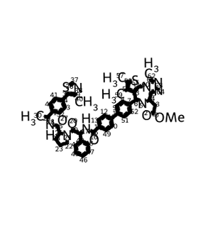 COC(=O)CC1N=C(c2ccc(-c3ccc(C(=O)NC(C(=O)N4CCCC4C(=O)NC(C)c4ccc(-c5scnc5C)cc4)c4ccccc4)cc3)cc2)c2c(sc(C)c2C)-n2c(C)nnc21